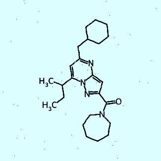 CCC(C)c1cc(CC2CCCCC2)nc2cc(C(=O)N3CCCCCC3)nn12